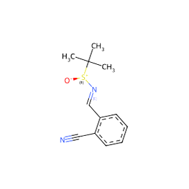 CC(C)(C)[S@+]([O-])/N=C/c1ccccc1C#N